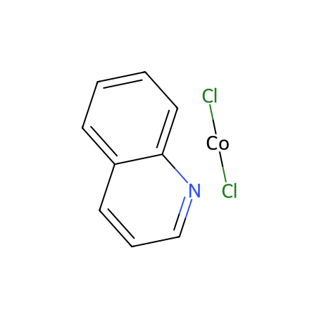 [Cl][Co][Cl].c1ccc2ncccc2c1